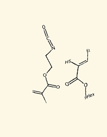 C=C(C)C(=O)OCCN=C=O.CCC=C(S)C(=O)OCCCCCC